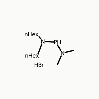 Br.CCCCCCN(CCCCCC)PN(C)C